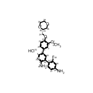 COc1cc(-c2cnc(N)c(-c3ccc(N)cc3F)c2)ccc1OC[C@H]1COCCO1.Cl